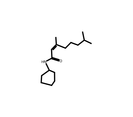 CC(=CC(=O)NC1CCCCC1)CCCC(C)C